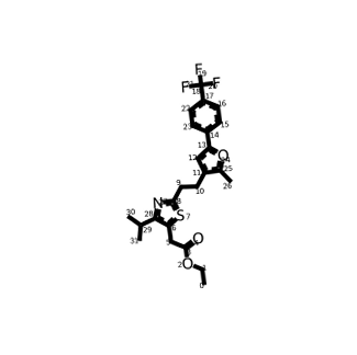 CCOC(=O)Cc1sc(CCc2cc(-c3ccc(C(F)(F)F)cc3)oc2C)nc1C(C)C